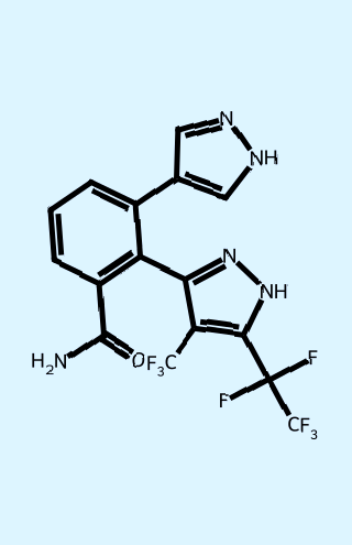 NC(=O)c1cccc(-c2cn[nH]c2)c1-c1n[nH]c(C(F)(F)C(F)(F)F)c1C(F)(F)F